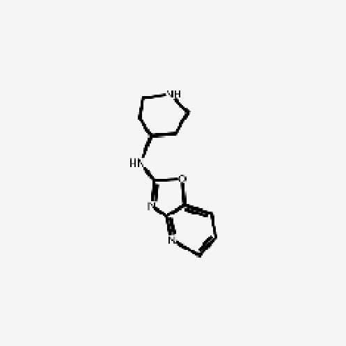 c1cnc2nc(NC3CCNCC3)oc2c1